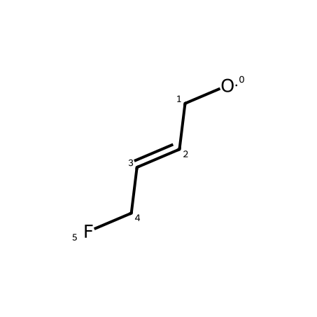 [O]CC=CCF